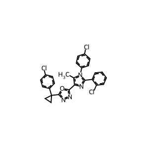 Cc1c(-c2nnc(C3(c4ccc(Cl)cc4)CC3)o2)nc(-c2ccccc2Cl)n1-c1ccc(Cl)cc1